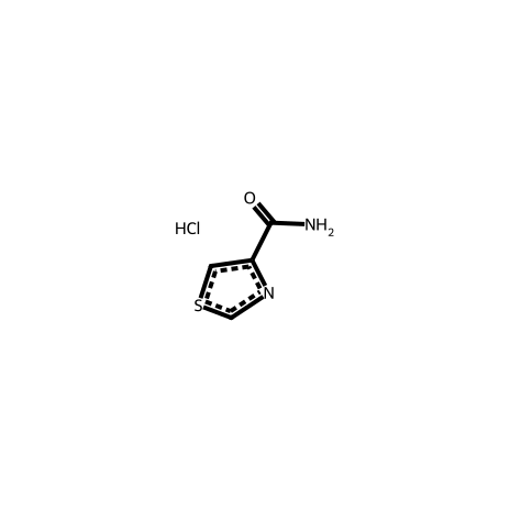 Cl.NC(=O)c1cscn1